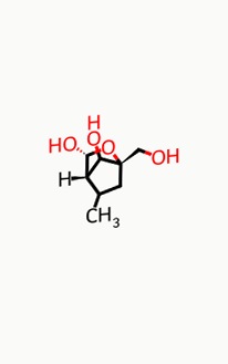 CC1C[C@@]2(CO)O[C@@H](O)[C@@H]1C2O